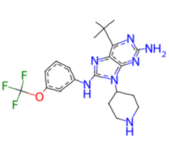 CC(C)(C)c1nc(N)nc2c1nc(Nc1cccc(OC(F)(F)F)c1)n2C1CCNCC1